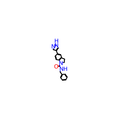 O=C(NCc1ccccc1)N1CCc2cc(-c3cn[nH]c3)ccc21